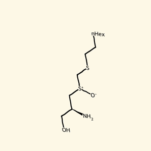 CCCCCCCCSC[S+]([O-])C[C@@H](N)CO